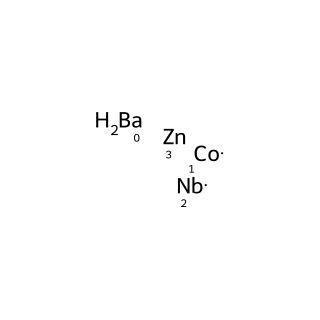 [BaH2].[Co].[Nb].[Zn]